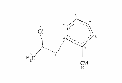 CC(Cl)Cc1ccccc1O